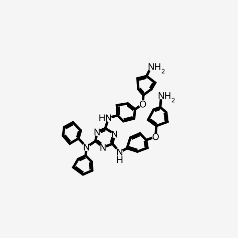 Nc1ccc(Oc2ccc(Nc3nc(Nc4ccc(Oc5ccc(N)cc5)cc4)nc(N(c4ccccc4)c4ccccc4)n3)cc2)cc1